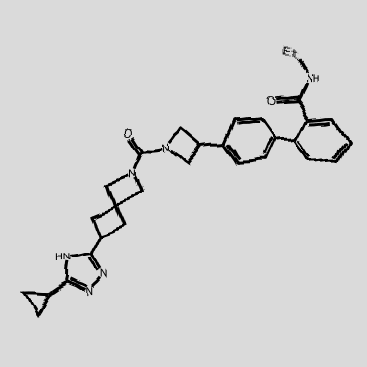 CCNC(=O)c1ccccc1-c1ccc(C2CN(C(=O)N3CC4(CC(c5nnc(C6CC6)[nH]5)C4)C3)C2)cc1